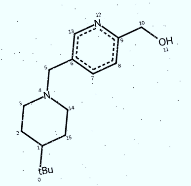 CC(C)(C)C1CCN(Cc2ccc(CO)nc2)CC1